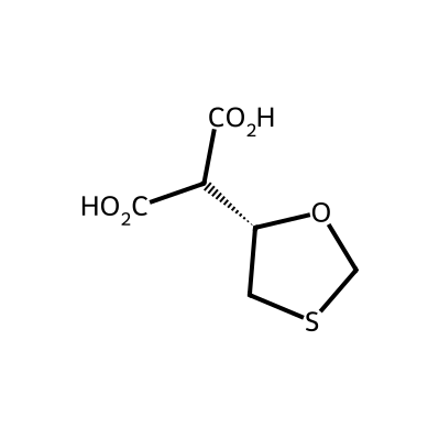 O=C(O)C(C(=O)O)[C@H]1CSCO1